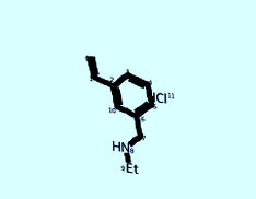 C=Cc1cccc(CNCC)c1.Cl